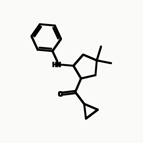 CC1(C)CC(Nc2ccccc2)C(C(=O)C2CC2)C1